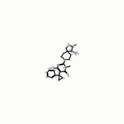 C[C@@H]1OCC2(CCN(c3nc(N)c(C4(c5ccccc5)CC4)c(=O)n3C)CC2)[C@@H]1N